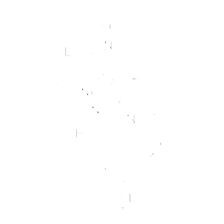 CCNC(CC)c1c2c(nn1C)N(c1c(C)cc(C)cc1C)CCC2